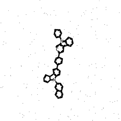 C1=CC2c3cc(-c4ccc(-c5ccc6c(c5)c5ccccc5n6-c5ccccc5)cc4)ccc3N(c3ccc4ccccc4c3)C2C=C1